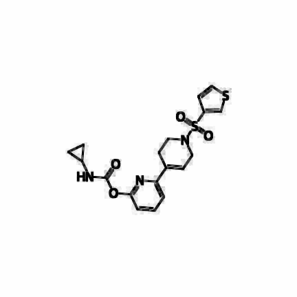 O=C(NC1CC1)Oc1cccc(C2=CCN(S(=O)(=O)c3ccsc3)CC2)n1